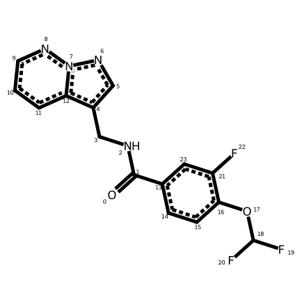 O=C(NCc1cnn2ncccc12)c1ccc(OC(F)F)c(F)c1